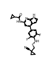 N#CC1(CSNc2c(F)cc(-c3cc(NC(=O)C4CC4)nc4[nH]ccc34)cc2F)CC1